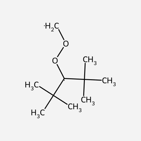 [CH2]OO[C](C(C)(C)C)C(C)(C)C